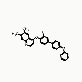 Cc1cc2nccc(Oc3ccc(-c4ccc(Oc5ccccc5)cc4)cc3F)c2cc1C